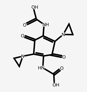 O=C(O)NC1=C(N2CC2)C(=O)C(NC(=O)O)=C(N2CC2)C1=O